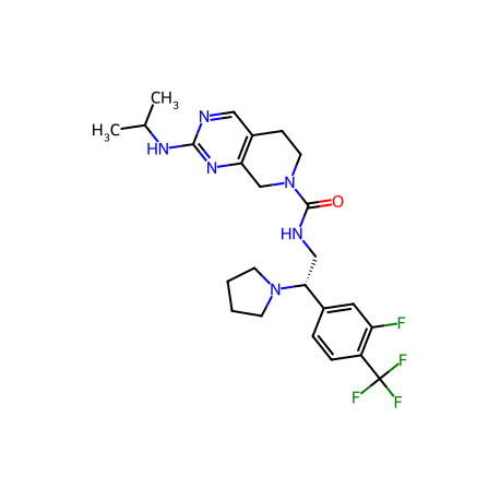 CC(C)Nc1ncc2c(n1)CN(C(=O)NC[C@H](c1ccc(C(F)(F)F)c(F)c1)N1CCCC1)CC2